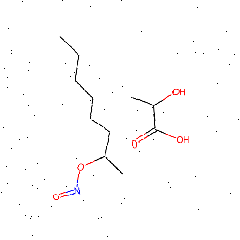 CC(O)C(=O)O.CCCCCCC(C)ON=O